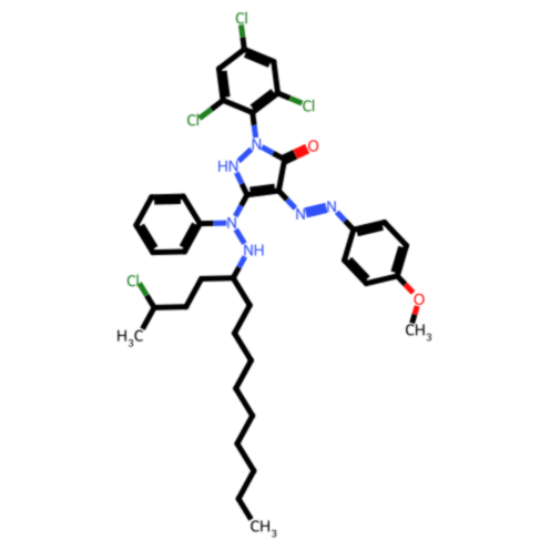 CCCCCCCCCC(CCC(C)Cl)NN(c1ccccc1)c1[nH]n(-c2c(Cl)cc(Cl)cc2Cl)c(=O)c1N=Nc1ccc(OC)cc1